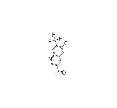 CC(=O)c1cnc2cc(C(F)(F)F)c(Cl)cc2c1